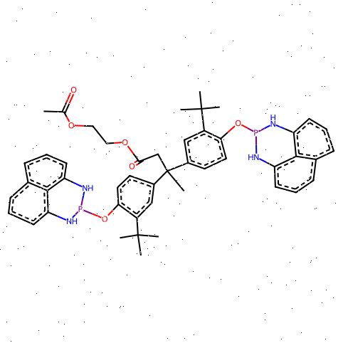 CC(=O)OCCOC(=O)CC(C)(c1ccc(OP2Nc3cccc4cccc(c34)N2)c(C(C)(C)C)c1)c1ccc(OP2Nc3cccc4cccc(c34)N2)c(C(C)(C)C)c1